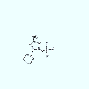 Nc1nc(C2=CCCC=C2)n(CC(F)(F)F)n1